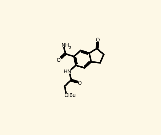 CC(C)COCC(=O)Nc1cc2c(cc1C(N)=O)C(=O)CC2